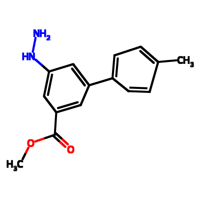 COC(=O)c1cc(NN)cc(-c2ccc(C)cc2)c1